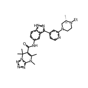 CCN1CCN(c2cc(-c3n[nH]c4ccc(NC(=O)C5=C(C)N(C)c6nnnn6C5(C)C)cc34)ccn2)C[C@@H]1C